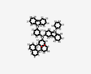 c1ccc(-c2cccc3cccc(-c4cccc(N(c5cccc(-n6c7ccccc7c7ccccc76)c5)c5ccc6c(c5)c5ccccc5n6-c5ccccc5)c4)c23)cc1